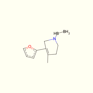 BBN1CCC(C)=C(c2ccco2)C1